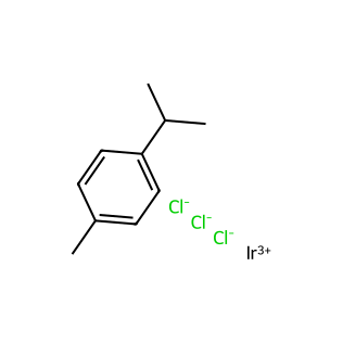 Cc1ccc(C(C)C)cc1.[Cl-].[Cl-].[Cl-].[Ir+3]